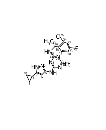 CCc1nc(Nc2cc(C3CC3)[nH]n2)nc(N[C@H](C)c2ccc(F)cc2Cl)n1